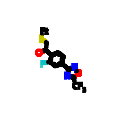 CCSCC(=O)c1ccc(-c2noc(C(F)(F)F)n2)cc1F